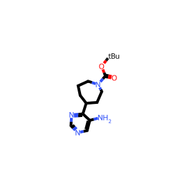 CC(C)(C)OC(=O)N1CCCC(c2ncncc2N)CC1